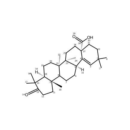 CC1(C)C=C2[C@H]3CCC4[C@]5(C)CCC(=O)C(C)(C)[C@H]5CC[C@@]4(C)[C@@]3(C)CC[C@@]2(C(=O)O)CC1